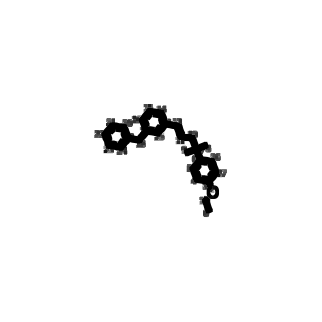 CCOc1ccc(C(C)(C)C/C=C/c2cccc(Cc3ccccc3)c2)cc1